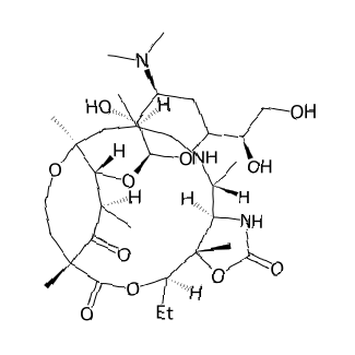 CC[C@H]1OC(=O)[C@]2(C)CCO[C@@](C)(C[C@@H](C)CN[C@H](C)[C@H]3NC(=O)O[C@@]31C)[C@H](O[C@@H]1OC([C@H](O)CO)C[C@H](N(C)C)[C@H]1O)[C@@H](C)C2=O